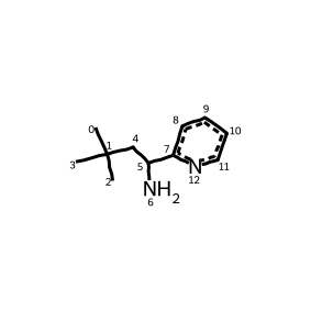 CC(C)(C)CC(N)c1ccccn1